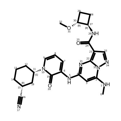 CNc1cc(Nc2cccn([C@H]3CCC[C@@H](C#N)C3)c2=O)nc2c(C(=O)N[C@@H]3CC[C@H]3OC)cnn12